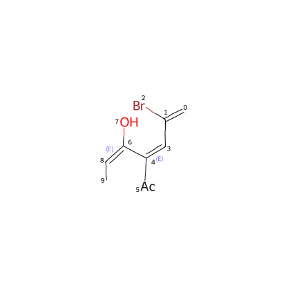 C=C(Br)/C=C(C(C)=O)\C(O)=C/C